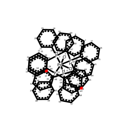 [Cl][Pd]([Cl])([PH](c1ccccc1)(c1ccccc1)c1ccccc1)([PH](c1ccccc1)(c1ccccc1)c1ccccc1)([PH](c1ccccc1)(c1ccccc1)c1ccccc1)[PH](c1ccccc1)(c1ccccc1)c1ccccc1